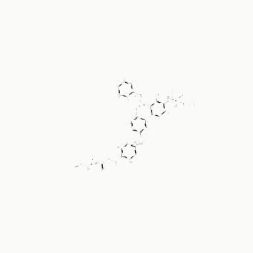 Cc1c(NS(C)(=O)=O)cccc1N(Cc1ccccc1)Cc1ccc(Oc2ccc(CCC(=O)NCCC(=O)O)cc2)cc1